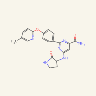 Cc1ccc(Oc2ccc(-c3nc(NC4CCNC4=O)cc(C(N)=O)n3)cc2)nc1